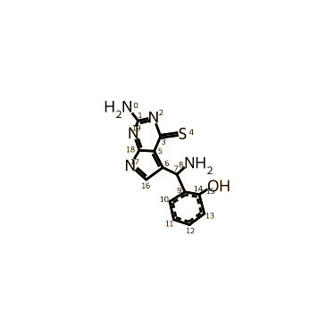 NC1=NC(=S)C2=C(C(N)c3ccccc3O)C=NC2=N1